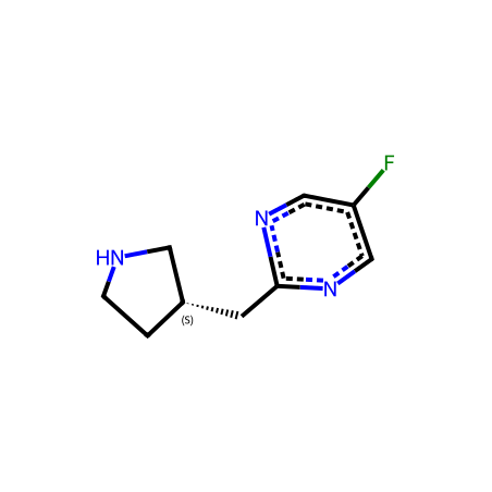 Fc1cnc(C[C@@H]2CCNC2)nc1